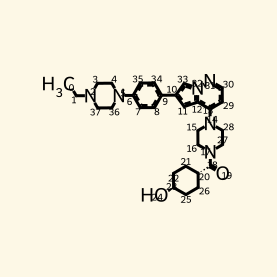 CCN1CCN(c2ccc(-c3cc4c(N5CCN(C(=O)[C@H]6CC[C@H](O)CC6)CC5)ccnn4c3)cc2)CC1